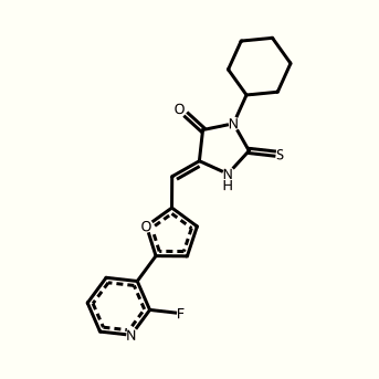 O=C1/C(=C/c2ccc(-c3cccnc3F)o2)NC(=S)N1C1CCCCC1